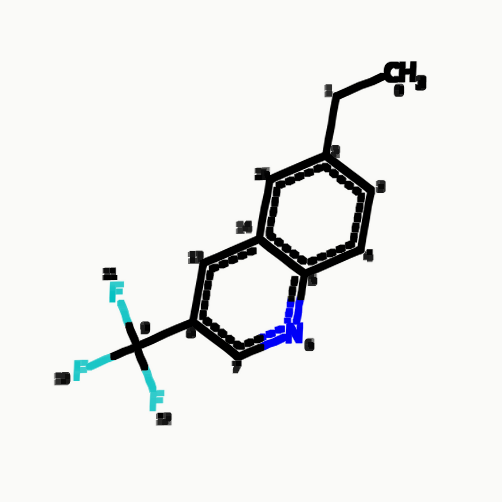 CCc1ccc2ncc(C(F)(F)F)cc2c1